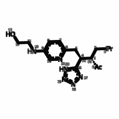 CC(=O)[C@@H](CC(C)C)[C@H](Cc1ccc(NCCO)cn1)c1nnn[nH]1